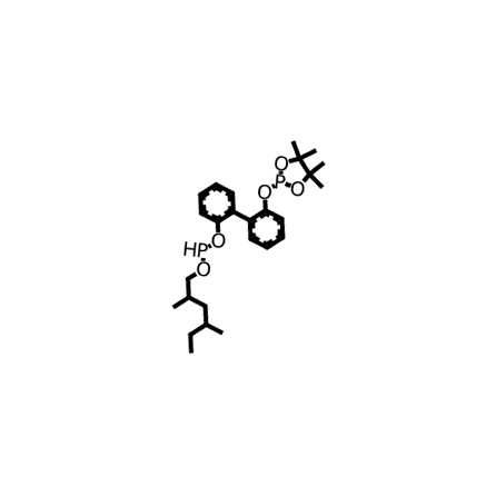 CCC(C)CC(C)COPOc1ccccc1-c1ccccc1OP1OC(C)(C)C(C)(C)O1